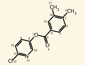 Cc1ccc(C(=O)Oc2ccc(Cl)nc2)cc1C